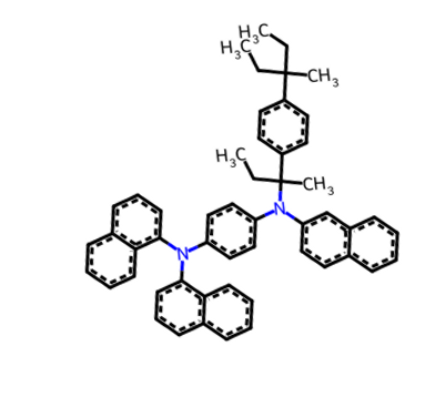 CCC(C)(CC)c1ccc(C(C)(CC)N(c2ccc(N(c3cccc4ccccc34)c3cccc4ccccc34)cc2)c2ccc3ccccc3c2)cc1